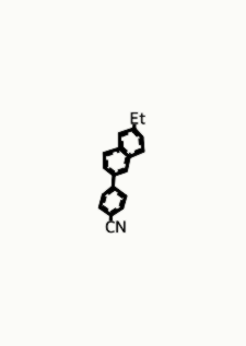 CCc1ccc2cc(-c3ccc(C#N)cc3)ccc2c1